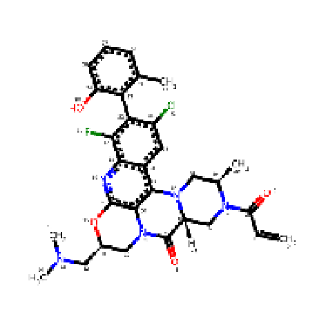 C=CC(=O)N1C[C@@H]2C(=O)N3C[C@@H](CN(C)C)Oc4nc5c(F)c(-c6c(C)cccc6O)c(Cl)cc5c(c43)N2C[C@H]1C